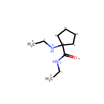 CCNC(=O)C1(NCC)CCCC1